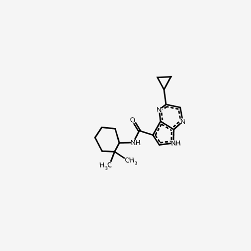 CC1(C)CCCCC1NC(=O)c1c[nH]c2ncc(C3CC3)nc12